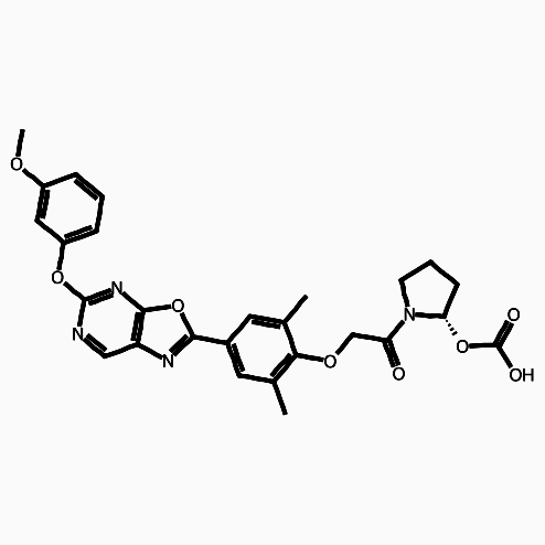 COc1cccc(Oc2ncc3nc(-c4cc(C)c(OCC(=O)N5CCC[C@@H]5OC(=O)O)c(C)c4)oc3n2)c1